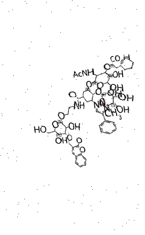 CC(=O)NC1C(O[C@@H](CC2CCCCC2)C(=O)O)[C@@H](O)C(CO)O[C@H]1O[C@@H]1CC(C(=O)NCCO[C@H]2OC(CO)[C@@H](O)C(OCc3cc4ccccc4oc3=O)C2O)CC(n2cc(-c3ccccc3)nn2)C1O[C@@H]1OC(C)[C@@H](O)C(O)C1O